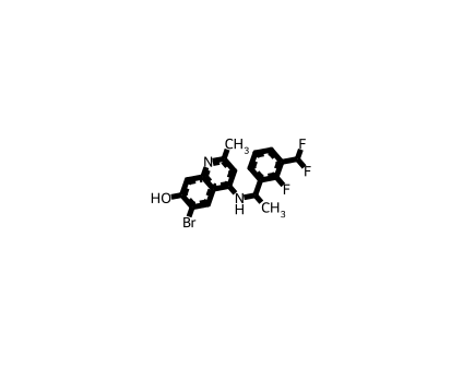 Cc1cc(NC(C)c2cccc(C(F)F)c2F)c2cc(Br)c(O)cc2n1